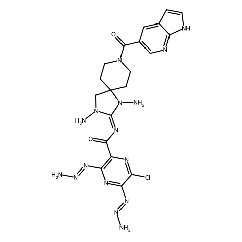 NN=Nc1nc(N=NN)c(C(=O)/N=C2\N(N)CC3(CCN(C(=O)c4cnc5[nH]ccc5c4)CC3)N2N)nc1Cl